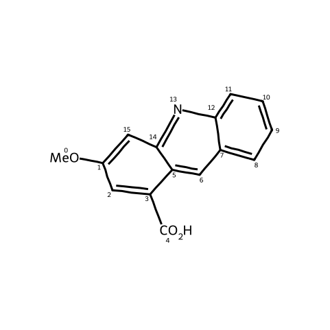 COc1cc(C(=O)O)c2cc3ccccc3nc2c1